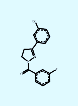 O=C(c1cccc(F)c1)N1CCC(c2cccc(Br)c2)=N1